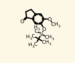 COc1cc2c(cc1O[Si](C)(C)C(C)(C)C)C(=O)CC2